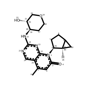 Cc1cc(=O)n([C@H]2CCC3C[C@H]32)c2nc(N[C@@H]3CCOC[C@H]3O)ncc12